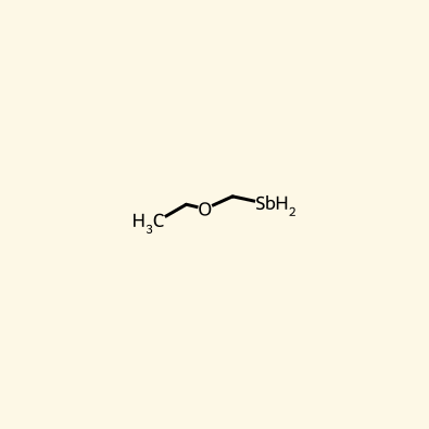 CCO[CH2][SbH2]